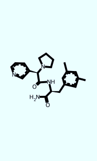 Cc1cc(C)cc(C[C@H](NC(=O)[C@@H](c2cccnc2)N2CCCC2)C(N)=O)c1